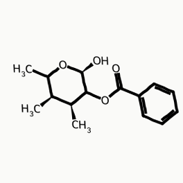 CC1O[C@@H](O)C(OC(=O)c2ccccc2)[C@@H](C)[C@H]1C